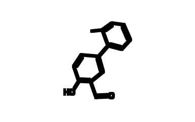 Cc1ccccc1-c1ccc(O)c(C=O)c1